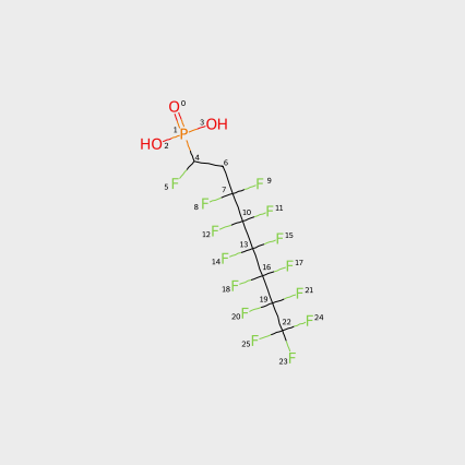 O=P(O)(O)C(F)CC(F)(F)C(F)(F)C(F)(F)C(F)(F)C(F)(F)C(F)(F)F